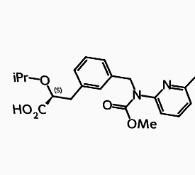 COC(=O)N(Cc1cccc(C[C@H](OC(C)C)C(=O)O)c1)c1cccc(C)n1